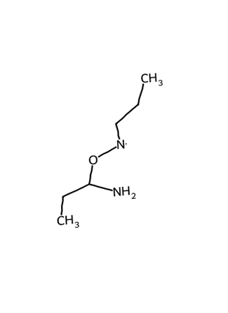 CCC[N]OC(N)CC